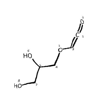 O=C=COCC(O)CO